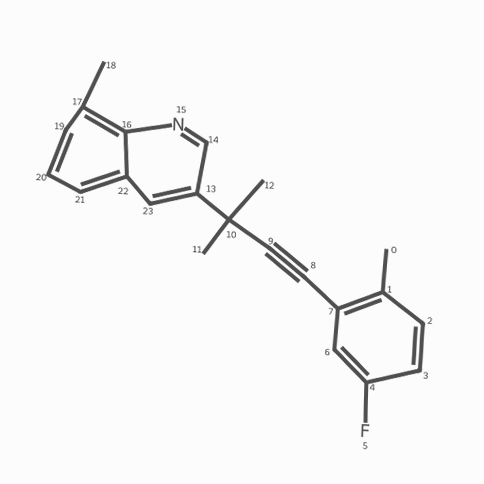 Cc1ccc(F)cc1C#CC(C)(C)c1cnc2c(C)cccc2c1